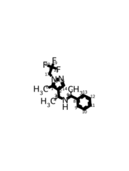 Cc1c([C@@H](C)N[C@H](C)c2ccccc2)cnn1CC(F)(F)F